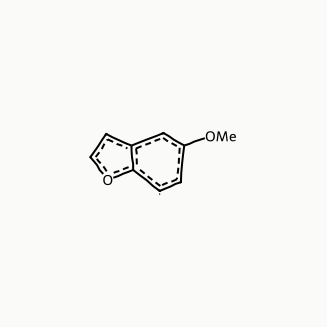 COc1c[c]c2occc2c1